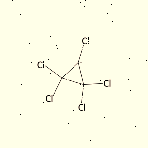 Cl[C]1C(Cl)(Cl)C1(Cl)Cl